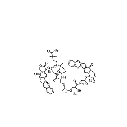 CC[C@@]1(OC(=O)CNC(=O)C(CSC2CCC2SCC(NC(C)(C)C)C(=O)NCC(=O)O[C@]2(CC)C(=O)OCc3c2cc2n(c3=O)Cc3cc4ccccc4nc3-2)NC(=O)CCC(C)(C)OCCC(C)(C)C(=O)C(C)C)C(=O)OCc2c1cc1n(c2=O)Cc2cc3ccccc3nc2-1